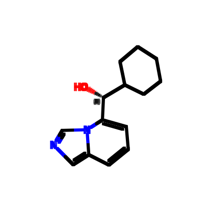 O[C@@H](c1cccc2cncn12)C1CCCCC1